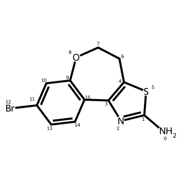 Nc1nc2c(s1)CCOc1cc(Br)ccc1-2